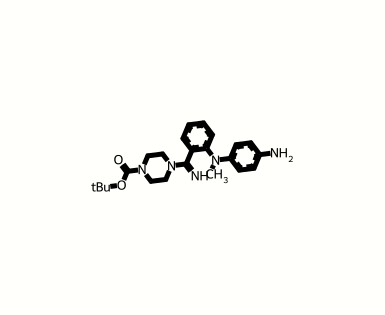 CN(c1ccc(N)cc1)c1ccccc1C(=N)N1CCN(C(=O)OC(C)(C)C)CC1